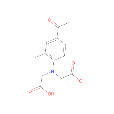 CC(=O)c1ccc(N(CC(=O)O)CC(=O)O)c(C)c1